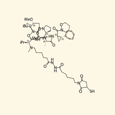 CC[C@H](C)[C@@H]([C@@H](CC(=O)N1CCC[C@H]1[C@H](OC)[C@@H](C)C(=O)N[C@@]1(C(=O)N2CCCCO2)C[C@H]1c1ccccc1)OC)N(C)C(=O)[C@@H](NC(=O)[C@H](C(C)C)N(C)CCCCCC(=O)NNC(=O)CCCCCN1C(=O)CC(S)C1=O)C(C)C